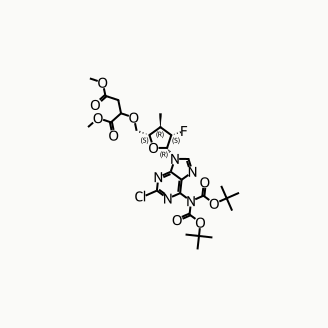 COC(=O)CC(OC[C@H]1O[C@@H](n2cnc3c(N(C(=O)OC(C)(C)C)C(=O)OC(C)(C)C)nc(Cl)nc32)[C@@H](F)[C@@H]1C)C(=O)OC